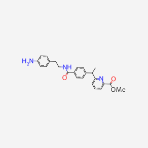 COC(=O)c1cccc(C(C)c2ccc(C(=O)NCCc3ccc(N)cc3)cc2)n1